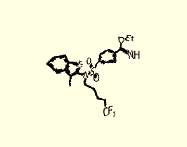 CCOC(=N)c1ccc(S(=O)(=O)N(CCCCC(F)(F)F)c2sc3ccccc3c2C)cc1